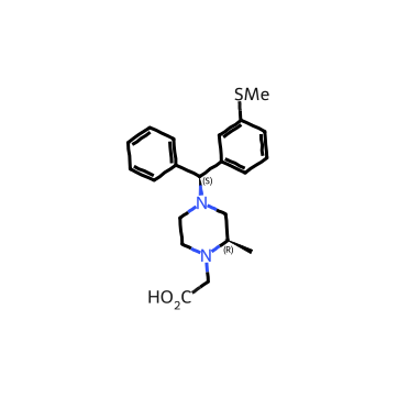 CSc1cccc([C@H](c2ccccc2)N2CCN(CC(=O)O)[C@H](C)C2)c1